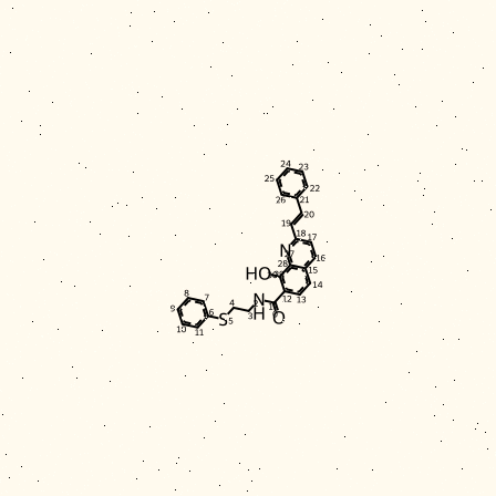 O=C(NCCSc1ccccc1)c1ccc2ccc(/C=C/c3ccccc3)nc2c1O